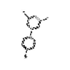 Fc1cc(F)cc(-c2ccc(Br)cc2)c1